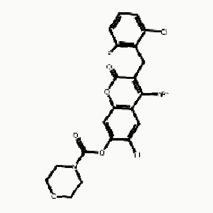 CCCc1c(Cc2c(F)cccc2Cl)c(=O)oc2cc(OC(=O)N3CCOCC3)c(Cl)cc12